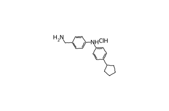 Cl.NCc1ccc(Nc2ccc(C3CCCC3)cc2)cc1